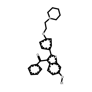 CCOc1ccc2c(C(=O)c3ccccc3)c(-c3ccc(OCCN4CCCCC4)cc3)sc2c1